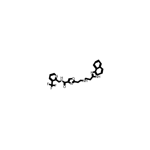 O=C(NCc1ncccc1C(F)(F)F)c1coc(CCNCCc2nc3c(ccc4ccccc43)[nH]2)n1